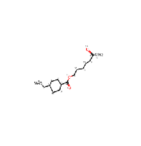 COCC1CCC(C(=O)OCCCCCC(=O)OC)CC1